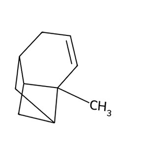 CC12C=CCC3CC1CC32